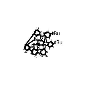 CC(C)(C)c1ccc2c(c1)B1c3cc(C(C)(C)C)ccc3N3c4cccc5c6ccc7c8c6n(c45)C4C3C1C1B2c2cccc3c5ccc-7c6c5n(c23)[C@H]1[C@H]4B86